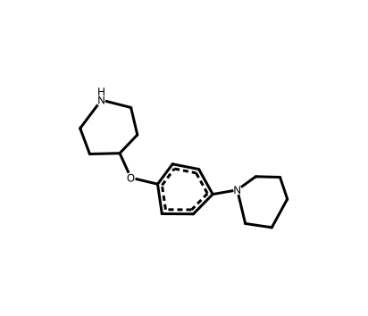 c1cc(N2CCCCC2)ccc1OC1CCNCC1